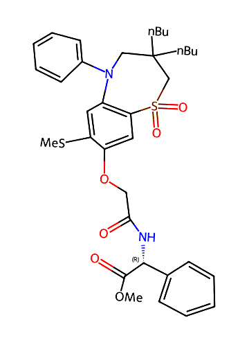 CCCCC1(CCCC)CN(c2ccccc2)c2cc(SC)c(OCC(=O)N[C@@H](C(=O)OC)c3ccccc3)cc2S(=O)(=O)C1